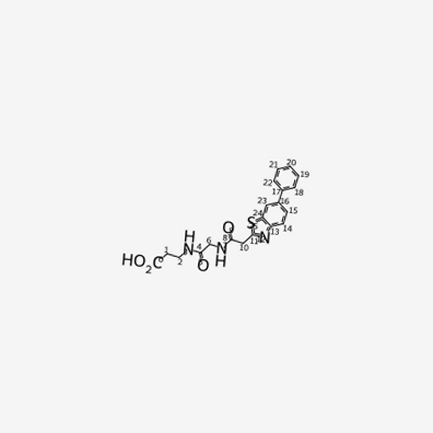 O=C(O)CCNC(=O)CNC(=O)Cc1nc2ccc(-c3ccccc3)cc2s1